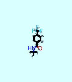 CC(C)(C)NC(=O)c1ccc(C(F)(F)F)cc1